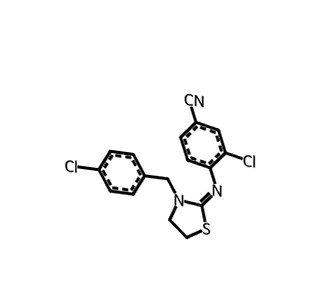 N#Cc1ccc(N=C2SCCN2Cc2ccc(Cl)cc2)c(Cl)c1